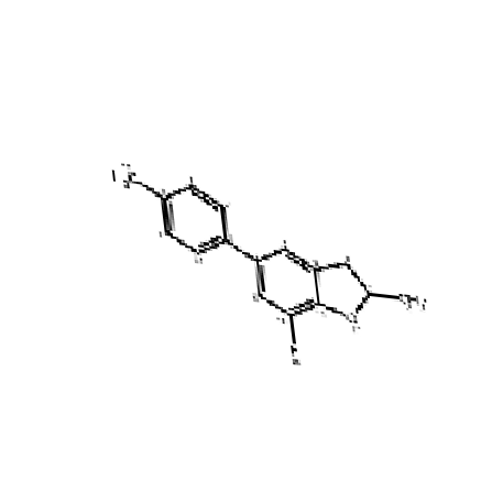 [CH2]C1Cc2cc(-c3ccc(C)cc3)cc(F)c2O1